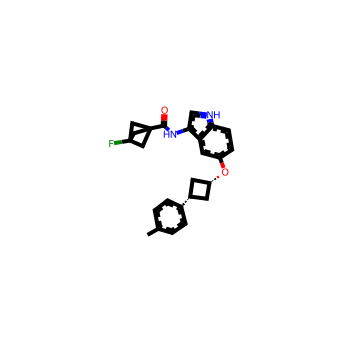 Cc1ccc([C@H]2C[C@@H](Oc3ccc4[nH]cc(NC(=O)C56CC(F)(C5)C6)c4c3)C2)cc1